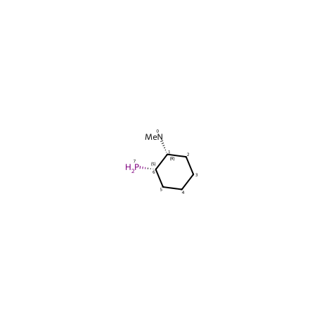 CN[C@@H]1CCCC[C@@H]1P